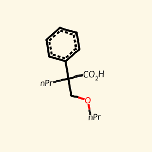 CCCOCC(CCC)(C(=O)O)c1ccccc1